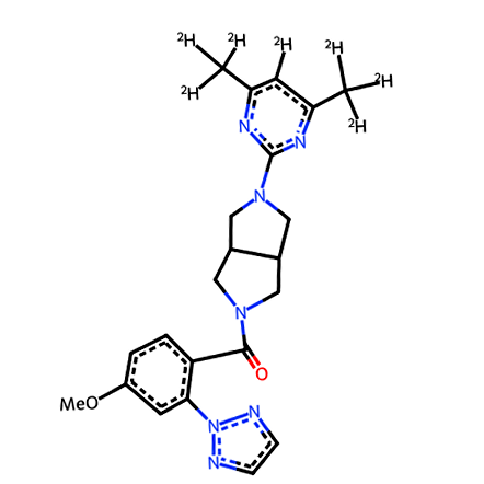 [2H]c1c(C([2H])([2H])[2H])nc(N2CC3CN(C(=O)c4ccc(OC)cc4-n4nccn4)CC3C2)nc1C([2H])([2H])[2H]